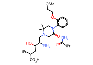 CC(C)C(N)=O.COCCOc1ccccc1N1CC(C)(C)N(CC(N)C(O)CC(C(=O)O)C(C)C)CC1=O